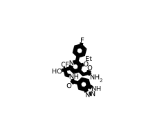 CCOc1c(CC(N)=O)cc([C@@](O)(CNC(=O)c2ccc3[nH]nnc3c2)C(F)(F)F)nc1-c1ccc(F)cc1